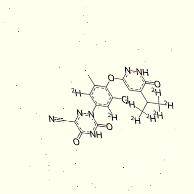 [2H]c1c(C)c(Oc2cc(C(C([2H])([2H])[2H])C([2H])([2H])[2H])c(=O)[nH]n2)c(Cl)c([2H])c1-n1nc(C#N)c(=O)[nH]c1=O